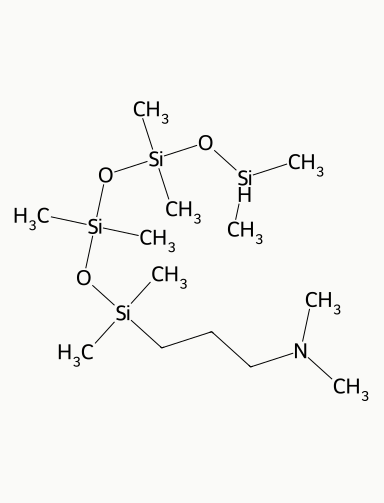 CN(C)CCC[Si](C)(C)O[Si](C)(C)O[Si](C)(C)O[SiH](C)C